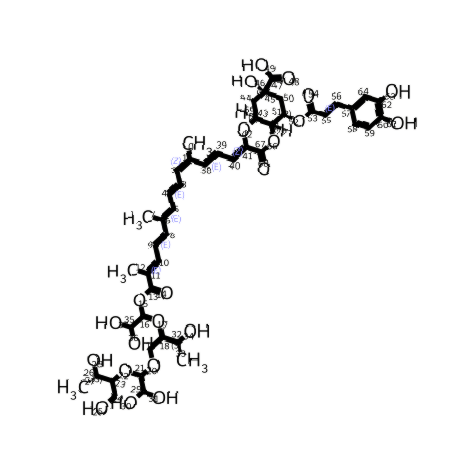 CC(=C/C=C/C=C(C)/C=C/C=C(\C)C(=O)OC(OC(COC(OC(CO)[C@H](C)O)C(O)O)[C@H](C)O)C(O)O)/C=C/C=C1\O[C@H]2C[C@](O)(C(=O)O)C[C@@H](OC(=O)/C=C/c3ccc(O)c(O)c3)[C@@H]2OC1=O